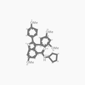 COc1ccc(-c2oc3cc(OC)cc(C(=O)NC4CCCC4)c3c2-c2cc(OC)cc(OC)c2)cc1